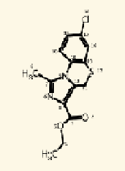 CCOC(=O)c1nc(C)n2c1CSc1cc(Cl)ccc1-2